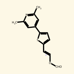 Cc1cc(-c2ccc(/C=C/OC=O)s2)cc(C)n1